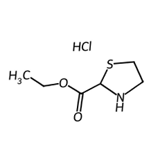 CCOC(=O)C1NCCS1.Cl